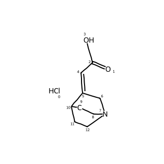 Cl.O=C(O)/C=C1\CN2CCC1CC2